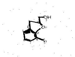 OCC1Cc2cccc(F)c2O1